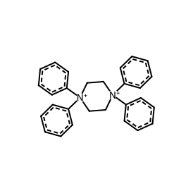 c1ccc([N+]2(c3ccccc3)CC[N+](c3ccccc3)(c3ccccc3)CC2)cc1